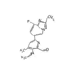 C=Nc1c(C)cc(-c2cc(F)c3nc(C)cn3c2)nc1C=O